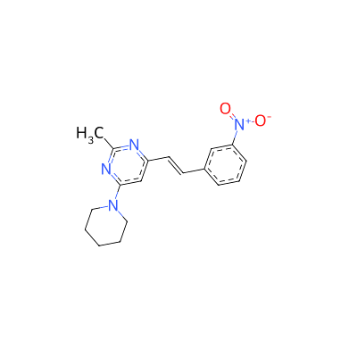 Cc1nc(C=Cc2cccc([N+](=O)[O-])c2)cc(N2CCCCC2)n1